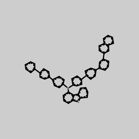 c1ccc(-c2ccc(-c3ccc(N(c4ccc(-c5ccc(-c6cccc(-c7ccc8ccccc8c7)c6)cc5)cc4)c4cccc5sc6ccccc6c45)cc3)cc2)cc1